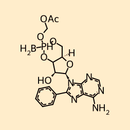 B[PH]1(OCOC(C)=O)OC[C@H]2O[C@@H](n3c(-c4ccccc4)nc4c(N)ncnc43)[C@@H](O)C2O1